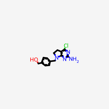 Nc1nc(Cl)c2c(n1)N(Cc1ccc(CO)cc1)CC2